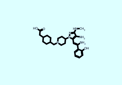 CNc1nn(C2CCN(CC3CCC(CC(=O)O)CC3)CC2)c(/C=C(\N)c2ccccc2O)c1N